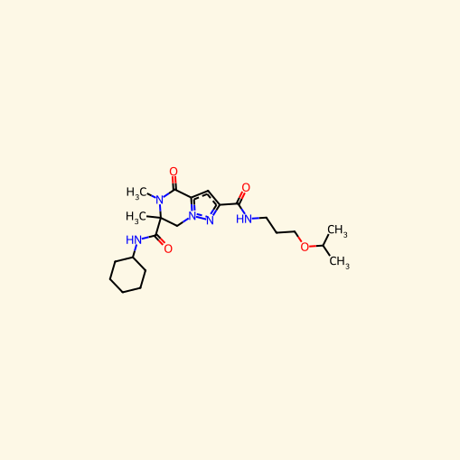 CC(C)OCCCNC(=O)c1cc2n(n1)CC(C)(C(=O)NC1CCCCC1)N(C)C2=O